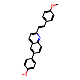 COc1ccc(C=Cc2ccc3cc(-c4ccc(O)cc4)ccc3n2)cc1